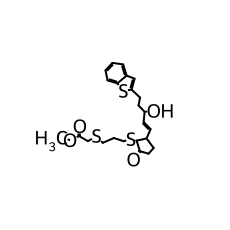 COC(=O)CSCCCS[C@H]1C(=O)CCC1/C=C/[C@H](O)CCc1cc2ccccc2s1